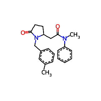 Cc1cccc(CN2C(=O)CCC2CC(=O)N(C)c2ccccc2)c1